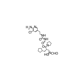 Nc1ncc(CCNC(=O)NC(=O)[C@@H]2CCCN2C(=O)[C@H](CC2CCCC2)CN(O)C=O)cc1Cl